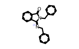 O=C1c2ccccc2/C(=N/Cc2ccccc2)N1Cc1ccccc1